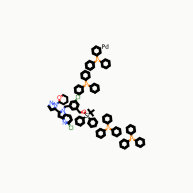 CC(C)(C)[Si](OCc1cc(Cl)cc(Cn2c(-c3ccnn3C3CCCCO3)cc3nc(Cl)ccc32)c1)(c1ccccc1)c1ccccc1.[Pd].c1ccc(P(c2ccccc2)c2ccccc2)cc1.c1ccc(P(c2ccccc2)c2ccccc2)cc1.c1ccc(P(c2ccccc2)c2ccccc2)cc1.c1ccc(P(c2ccccc2)c2ccccc2)cc1